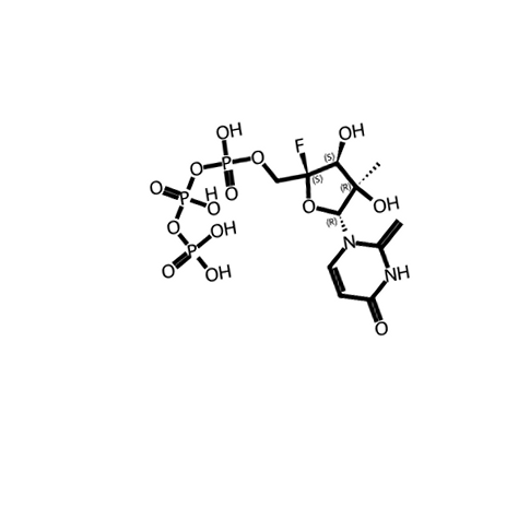 C=C1NC(=O)C=CN1[C@@H]1O[C@](F)(COP(=O)(O)OP(=O)(O)OP(=O)(O)O)[C@@H](O)[C@@]1(C)O